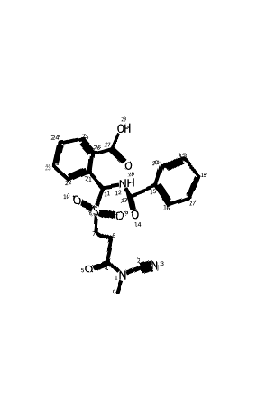 CN(C#N)C(=O)CCS(=O)(=O)C(NC(=O)c1ccccc1)c1ccccc1C(=O)O